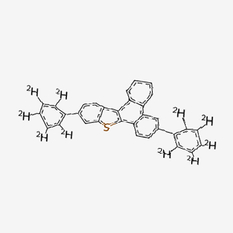 [2H]c1c([2H])c([2H])c(-c2ccc3c(c2)sc2c4ccc(-c5c([2H])c([2H])c([2H])c([2H])c5[2H])cc4c4ccccc4c32)c([2H])c1[2H]